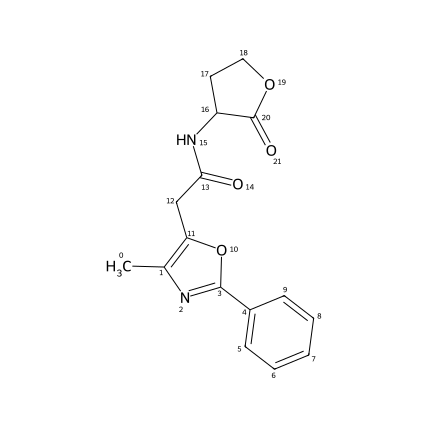 Cc1nc(-c2ccccc2)oc1CC(=O)NC1CCOC1=O